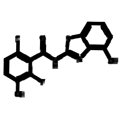 O=C(Nc1nc2c(O)cccc2s1)c1c(F)ccc(O)c1F